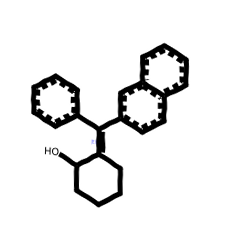 OC1CCCC/C1=C(/c1ccccc1)c1ccc2ccccc2c1